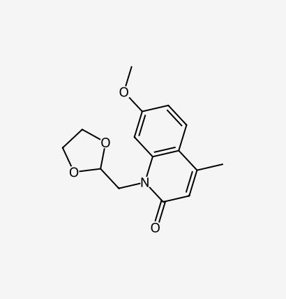 COc1ccc2c(C)cc(=O)n(CC3OCCO3)c2c1